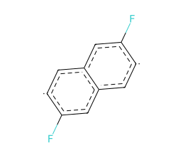 Fc1[c]cc2cc(F)[c]cc2c1